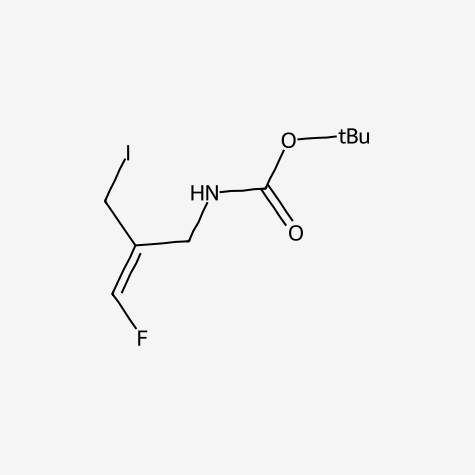 CC(C)(C)OC(=O)NC/C(=C\F)CI